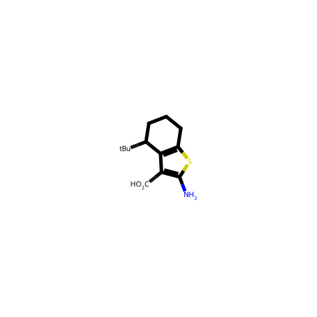 CC(C)(C)C1CCCc2sc(N)c(C(=O)O)c21